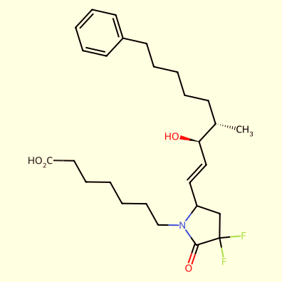 C[C@@H](CCCCCc1ccccc1)[C@H](O)C=CC1CC(F)(F)C(=O)N1CCCCCCC(=O)O